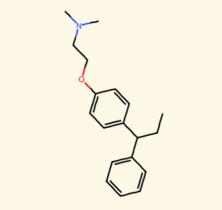 CCC(c1ccccc1)c1ccc(OCCN(C)C)cc1